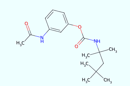 CC(=O)Nc1cccc(OC(=O)NC(C)(C)CC(C)(C)C)c1